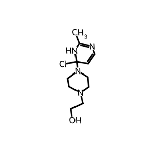 CC1=NC=CC(Cl)(N2CCN(CCO)CC2)N1